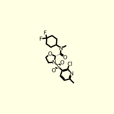 Cc1ccc(S(=O)(=O)N2CCO[C@@H]2C(=O)N(C)C2CCC(F)(F)CC2)c(Cl)n1